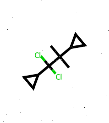 CC(C)(C1CC1)C(Cl)(Cl)C1CC1